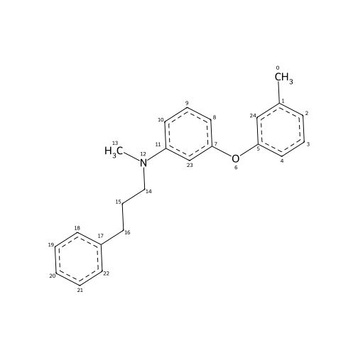 Cc1cccc(Oc2cccc(N(C)CCCc3ccccc3)c2)c1